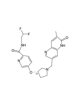 Cc1cc2ncc(CN3CC[C@H](Oc4ccc(C(=O)NCC(F)F)nc4)C3)cc2[nH]c1=O